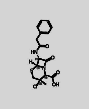 C[C@@]1(Cl)CS[C@@H]2[C@H](NC(=O)Cc3ccccc3)C(=O)N2[C@H]1C(=O)O